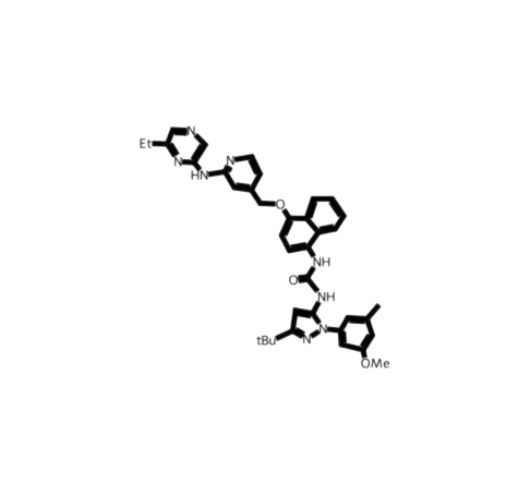 CCc1cncc(Nc2cc(COc3ccc(NC(=O)Nc4cc(C(C)(C)C)nn4-c4cc(C)cc(OC)c4)c4ccccc34)ccn2)n1